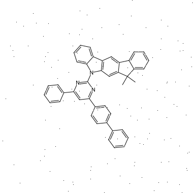 CC1(C)c2ccccc2-c2cc3c4ccccc4n(-c4nc(-c5ccccc5)cc(-c5ccc(-c6ccccc6)cc5)n4)c3cc21